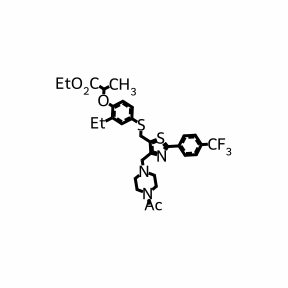 CCOC(=O)C(C)Oc1ccc(SCc2sc(-c3ccc(C(F)(F)F)cc3)nc2CN2CCN(C(C)=O)CC2)cc1CC